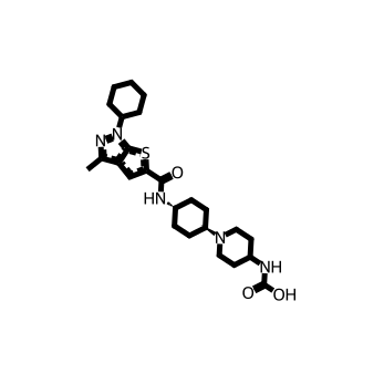 Cc1nn(C2CCCCC2)c2sc(C(=O)N[C@H]3CC[C@H](N4CCC(NC(=O)O)CC4)CC3)cc12